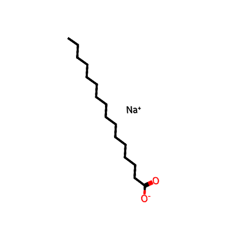 CCCCCCCCCCCCCCCC(=O)[O-].[Na+]